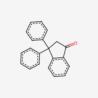 O=C1CC(c2ccccc2)(c2ccccc2)c2ccccc21